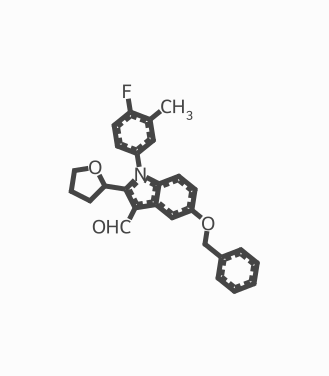 Cc1cc(-n2c(C3CCCO3)c(C=O)c3cc(OCc4ccccc4)ccc32)ccc1F